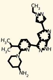 CCn1cc(-c2cc3c(-c4ccc(C(C)C)c(N5CCCC(N)C5)n4)n[nH]c3cn2)cn1